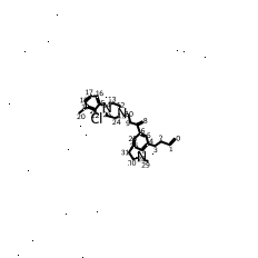 C=CCCc1cc(C(=C)CCN2CCN(c3cccc(C)c3Cl)CC2)cc2c1N(C)CC2